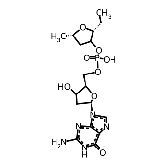 CC[C@H]1O[C@@H](C)CC1OP(=O)(O)OC[C@H]1O[C@@H](n2cnc3c(=O)[nH]c(N)nc32)CC1O